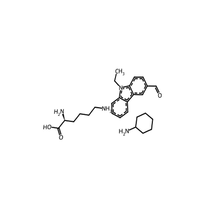 CCn1c2ccccc2c2cc(C=O)ccc21.NC1CCCCC1.NCCCC[C@H](N)C(=O)O